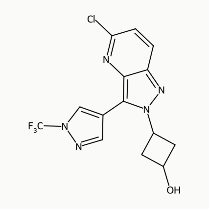 OC1CC(n2nc3ccc(Cl)nc3c2-c2cnn(C(F)(F)F)c2)C1